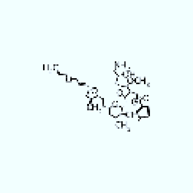 C=CCOC/C=C/[C@H]1CC(=C)[C@H](CC[C@H]2C[C@@H](C)C(=C)[C@@H](C[C@@H]3O[C@H](C[C@H](O)CN)[C@H](OC)[C@H]3CS(=O)(=O)c3ccccc3)O2)O1